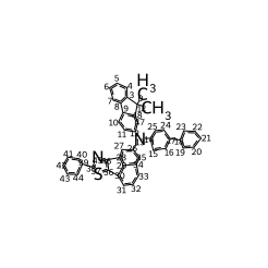 CC1(C)c2ccccc2-c2ccc(N(c3ccc(-c4ccccc4)cc3)c3cc4c5c(cccc5c3)-c3sc(-c5ccccc5)nc3-4)cc21